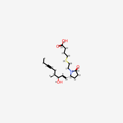 CCC#CC[C@H](C)[C@H](O)/C=C/[C@H]1CCC(=O)N1CCSCCCC(=O)O